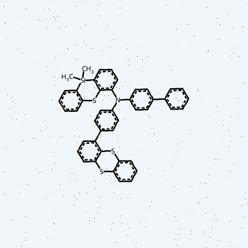 C[Si]1(C)c2ccccc2Sc2c(N(c3ccc(-c4ccccc4)cc3)c3ccc(-c4cccc5c4Sc4ccccc4S5)cc3)cccc21